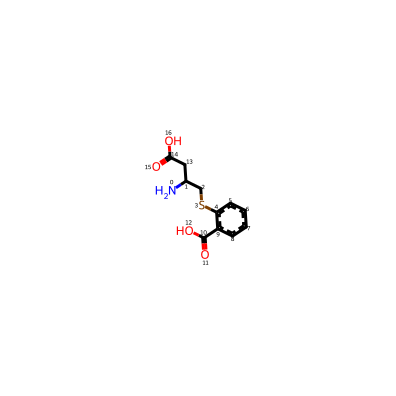 NC(CSc1ccccc1C(=O)O)CC(=O)O